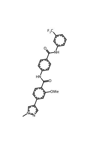 COc1cc(-c2cnn(C)c2)ccc1C(=O)Nc1ccc(C(=O)Nc2cccc(C(F)(F)F)c2)cc1